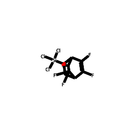 FC1=C(F)C2CC([Si](Cl)(Cl)Cl)C1C(F)C2(F)F